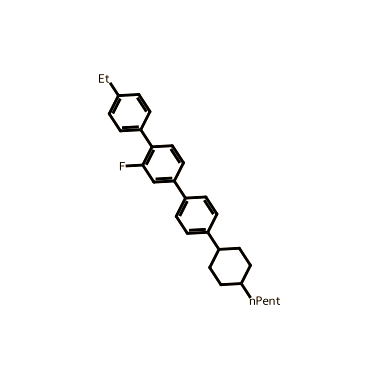 CCCCCC1CCC(c2ccc(-c3ccc(-c4ccc(CC)cc4)c(F)c3)cc2)CC1